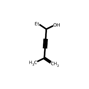 C=C(C)C#CC(O)CC